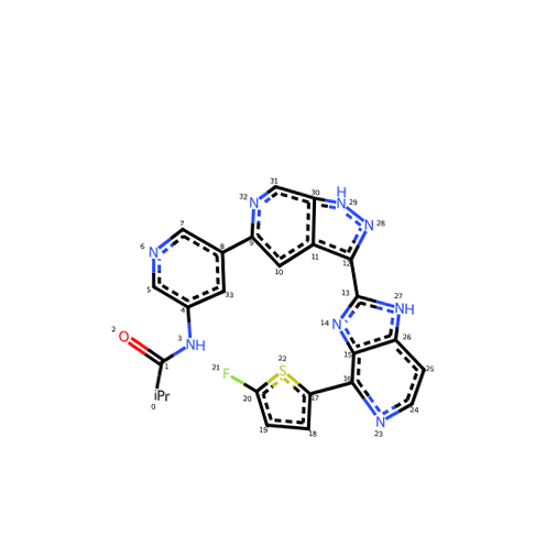 CC(C)C(=O)Nc1cncc(-c2cc3c(-c4nc5c(-c6ccc(F)s6)nccc5[nH]4)n[nH]c3cn2)c1